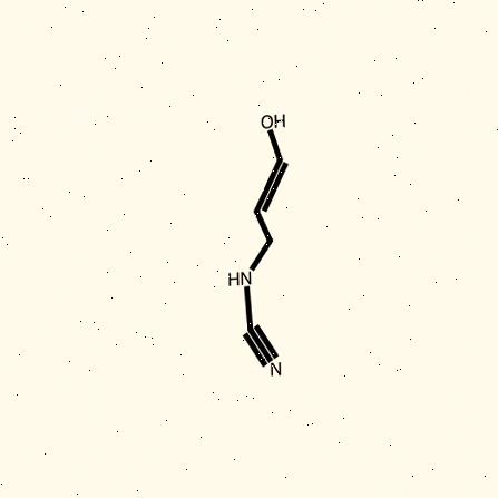 N#CNCC=CO